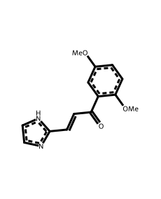 COc1ccc(OC)c(C(=O)C=Cc2ncc[nH]2)c1